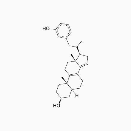 CC(Cc1cccc(O)c1)[C@H]1CC=C2C3=C(CC[C@@]21C)[C@@]1(C)CC[C@H](O)C[C@@H]1CC3